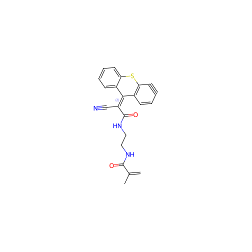 C=C(C)C(=O)NCCNC(=O)/C(C#N)=C1\c2ccc#cc2Sc2ccccc21